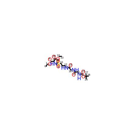 CCOC(=O)C(NS(=O)(=O)CCCNC(=O)CNC(=O)CNC(=O)OC(C)(C)C)C(=O)OCC